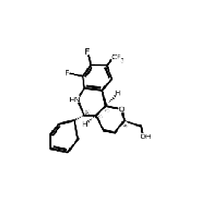 OC[C@H]1CC[C@@H]2[C@H](O1)c1cc(C(F)(F)F)c(F)c(F)c1N[C@H]2C1C=CC=CC1